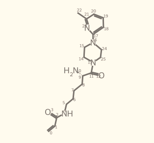 C=CC(=O)NCCCC[C@H](N)C(=O)N1CCN(c2cccc(C)n2)CC1